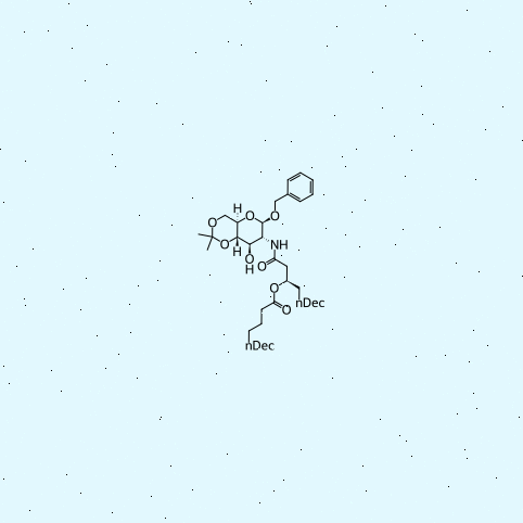 CCCCCCCCCCCCCC(=O)O[C@H](CCCCCCCCCCC)CC(=O)N[C@H]1[C@H](OCc2ccccc2)O[C@@H]2COC(C)(C)O[C@H]2[C@@H]1O